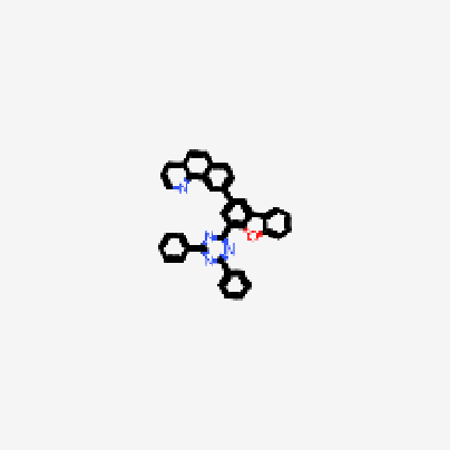 c1ccc(-c2nc(-c3ccccc3)nc(-c3cc(-c4ccc5ccc6cccnc6c5c4)cc4c3oc3ccccc34)n2)cc1